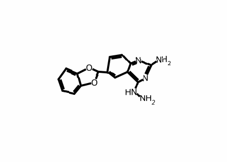 NNc1nc(N)nc2ccc(C3Oc4ccccc4O3)cc12